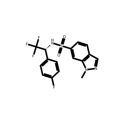 Cn1ncc2ccc(S(=O)(=O)N[C@H](c3ccc(F)cc3)C(F)(F)F)cc21